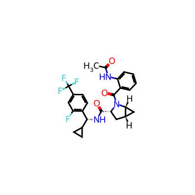 CC(=O)Nc1ccccc1C(=O)N1[C@@H](C(=O)N[C@@H](c2ccc(C(F)(F)F)cc2F)C2CC2)C[C@H]2C[C@H]21